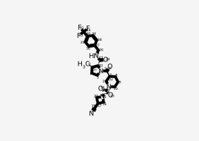 C[C@H]1CCN(C(=O)[C@H]2CCCN(S(=O)(=O)N3CC(C#N)C3)C2)[C@H]1C(=O)NCc1ccc(C(F)(F)F)cc1